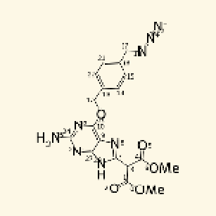 COC(=O)C(C(=O)OC)c1nc2c(OCc3ccc(CN=[N+]=[N-])cc3)nc(N)nc2[nH]1